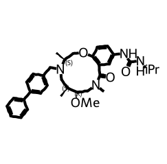 CO[C@H]1CN(C)C(=O)c2cc(NC(=O)NC(C)C)ccc2OC[C@H](C)N(Cc2ccc(-c3ccccc3)cc2)C[C@@H]1C